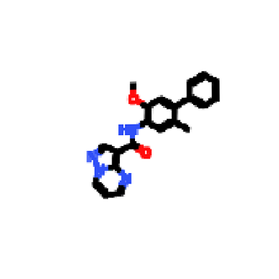 COc1cc(-c2ccccc2)c(C)cc1NC(=O)c1cnn2cccnc12